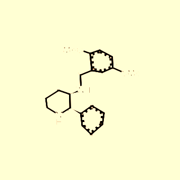 COc1ccc(SC)cc1CN[C@@H]1CCCN[C@@H]1c1ccccc1